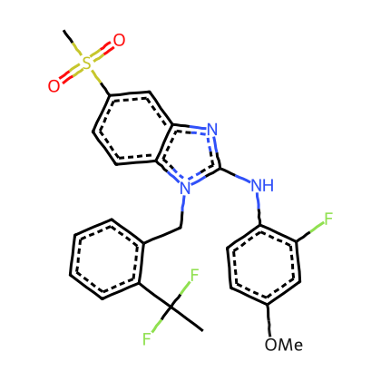 COc1ccc(Nc2nc3cc(S(C)(=O)=O)ccc3n2Cc2ccccc2C(C)(F)F)c(F)c1